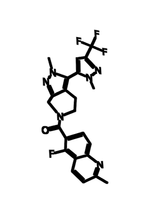 Cc1ccc2c(F)c(C(=O)N3CCc4c(nn(C)c4-c4cc(C(F)(F)F)nn4C)C3)ccc2n1